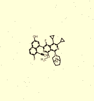 C#Cc1c(F)ccc2cc(O)cc(-c3nc(OC)c4c(N5CC6CCC(C5)N6)nc(C5CC5)c(C5CC5)c4c3F)c12